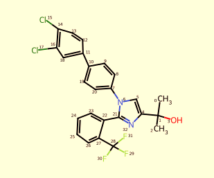 CC(C)(O)c1cn(-c2ccc(-c3ccc(Cl)c(Cl)c3)cc2)c(-c2ccccc2C(F)(F)F)n1